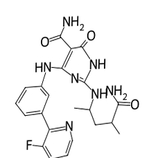 CC(CC(C)C(N)=O)Nc1nc(Nc2cccc(-c3ncccc3F)c2)c(C(N)=O)c(=O)[nH]1